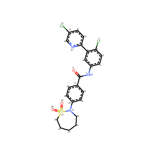 O=C(Nc1ccc(Cl)c(-c2ccc(Cl)cn2)c1)c1ccc(N2CCCCCS2(=O)=O)cc1